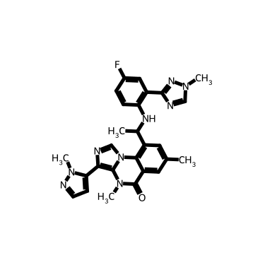 Cc1cc(C(C)Nc2ccc(F)cc2-c2ncn(C)n2)c2c(c1)c(=O)n(C)c1c(-c3ccnn3C)ncn21